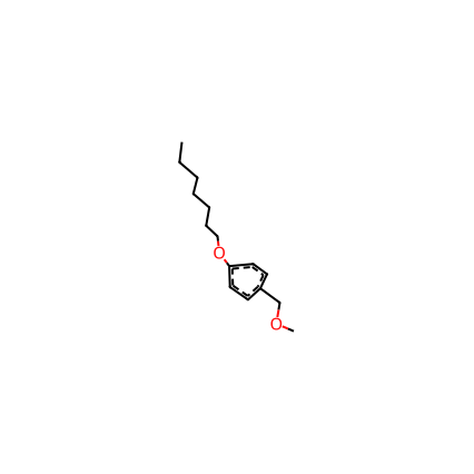 CCCCCCCOc1ccc(COC)cc1